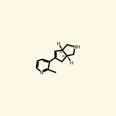 Cc1ncccc1C1=C[C@@H]2CNC[C@@H]2C1